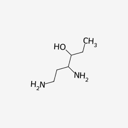 CCC(O)C(N)CCN